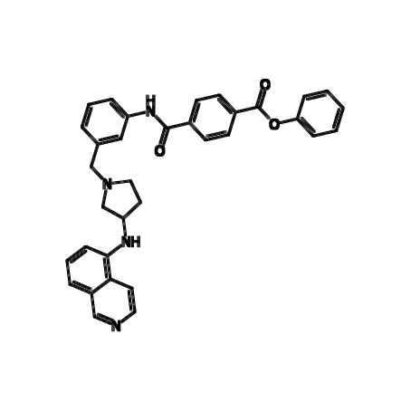 O=C(Nc1cccc(CN2CCC(Nc3cccc4cnccc34)C2)c1)c1ccc(C(=O)Oc2ccccc2)cc1